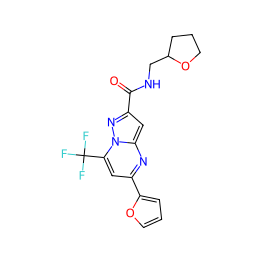 O=C(NCC1CCCO1)c1cc2nc(-c3ccco3)cc(C(F)(F)F)n2n1